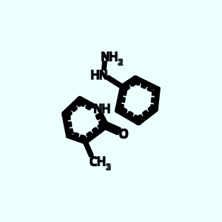 Cc1ccc[nH]c1=O.NNc1ccccc1